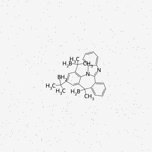 BC(C)(C)c1cc(C(B)(C)C)c2c(c1)C(B)(C)c1ccccc1-c1nc3ccccc3n1-2